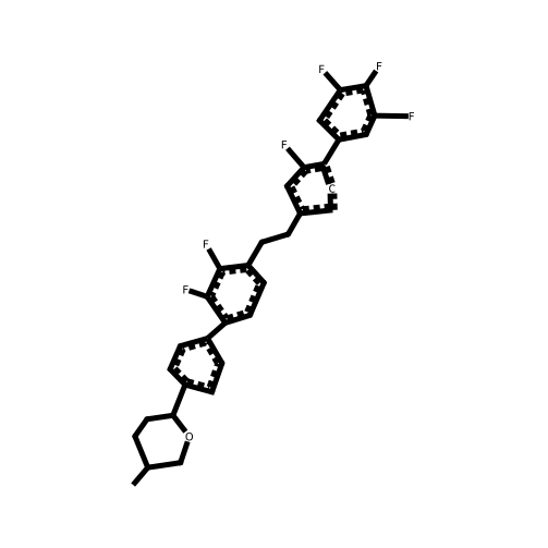 CC1CCC(c2ccc(-c3ccc(CCc4ccc(-c5cc(F)c(F)c(F)c5)c(F)c4)c(F)c3F)cc2)OC1